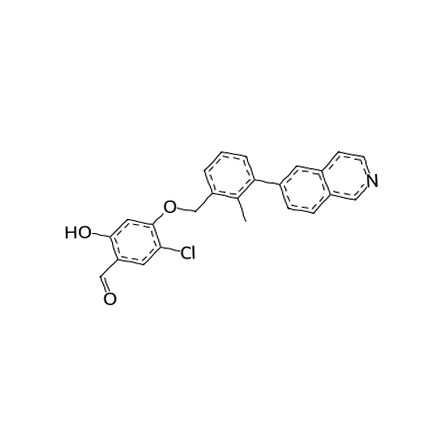 Cc1c(COc2cc(O)c(C=O)cc2Cl)cccc1-c1ccc2cnccc2c1